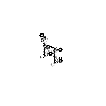 CC1CC(CCCC2CC(CC(O)CCCC3CC(CCCC(O)CC4C[C@H](C)OC(c5ccccc5O)O4)OC(c4ccccc4O)O3)OC(CNC(=O)NS(=O)(=O)c3ccccc3)O2)OC(c2ccccc2O)O1